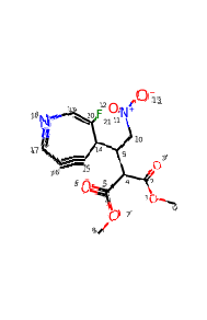 COC(=O)C(C(=O)OC)C(C[N+](=O)[O-])C1C#CC=NC=C1F